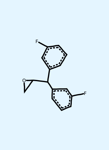 Fc1cccc(C(c2cccc(F)c2)C2CO2)c1